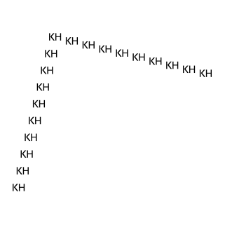 [KH].[KH].[KH].[KH].[KH].[KH].[KH].[KH].[KH].[KH].[KH].[KH].[KH].[KH].[KH].[KH].[KH].[KH].[KH]